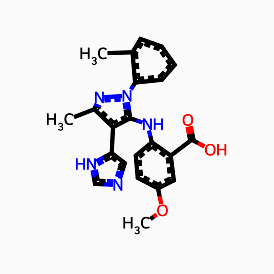 COc1ccc(Nc2c(-c3cnc[nH]3)c(C)nn2-c2ccccc2C)c(C(=O)O)c1